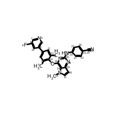 Cc1cc(-c2cncc(F)c2)cc(C)c1Oc1nc(Nc2ccc(C#N)cc2)nc2ccn(C)c12